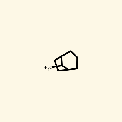 [CH2]C1C2CCCC1CC2